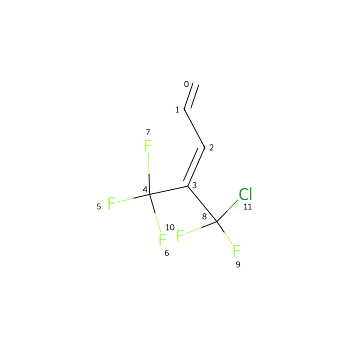 C=C/C=C(\C(F)(F)F)C(F)(F)Cl